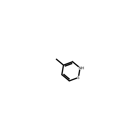 CC1=[C]NSC=C1